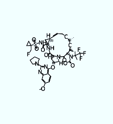 COc1ccc2c(O[C@@H]3C[C@H]4C(=O)N[C@]5(C(=O)NS(=O)(=O)C6(CF)CC6)C[C@H]5C=CCC[C@H](C)C[C@@H](C)[C@H](N(C(=O)O)C(C)(C)C(F)(F)F)C(=O)N4C3)nc(N3CCCC3)nc2c1